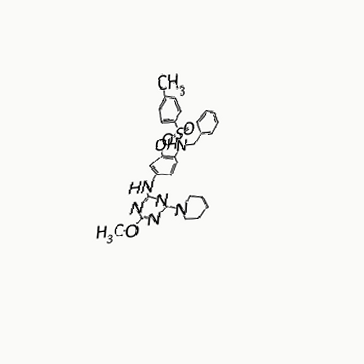 COc1nc(Nc2ccc(N(Cc3ccccc3)S(=O)(=O)c3ccc(C)cc3)c(O)c2)nc(N2CCCCC2)n1